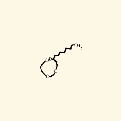 CCCCCCCCC1CCCCCCCCCCCOO1